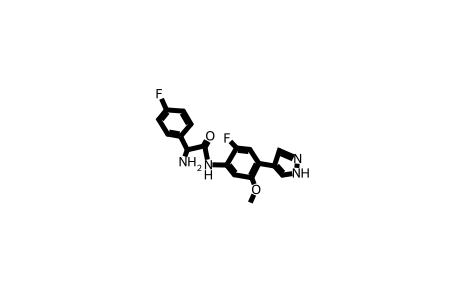 COc1cc(NC(=O)C(N)c2ccc(F)cc2)c(F)cc1-c1cn[nH]c1